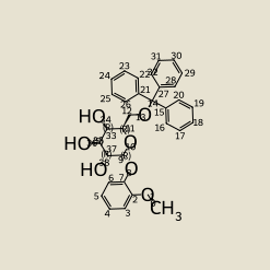 COc1ccccc1O[C@H]1O[C@H](COC(c2ccccc2)(c2ccccc2)c2ccccc2)[C@H](O)[C@H](O)[C@H]1O